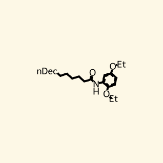 CCCCCCCCCCCCCCCC(=O)Nc1cc(OCC)ccc1OCC